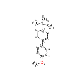 COc1ccc(C2=CC[C@@H](C(C)(C)C)CC2)cc1